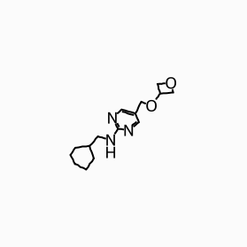 c1nc(NCC2CCCCC2)ncc1COC1COC1